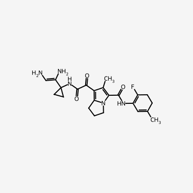 CC1=CC(NC(=O)c2c(C)c(C(=O)C(=O)NC3(/C(N)=C/N)CC3)c3n2CCC3)=C(F)CC1